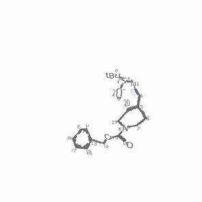 CC(C)(C)[S@+]([O-])/N=C\C1CCN(C(=O)OCc2ccccc2)CC1